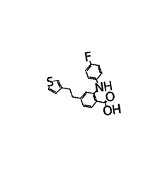 O=C(O)c1ccc(CCc2ccsc2)cc1Nc1ccc(F)cc1